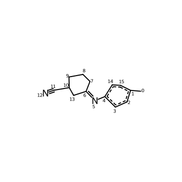 Cc1ccc(N=C2CCCC(C#N)C2)cc1